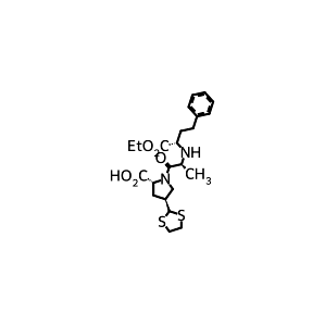 CCOC(=O)[C@H](CCc1ccccc1)N[C@@H](C)C(=O)N1C[C@@H](C2SCCS2)C[C@@H]1C(=O)O